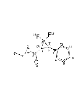 CCOC(=O)[C@H]1[C@H](c2ccccc2)C1(F)F